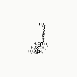 CCCCCCCCOCOCCCC(C)CC(C)CC(C)CC(C)CC(C)CC(C)O